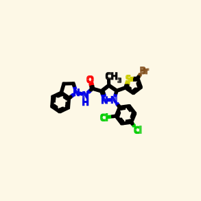 CC1C(C(=O)NN2CCc3ccccc32)=NN(c2ccc(Cl)cc2Cl)C1c1ccc(Br)s1